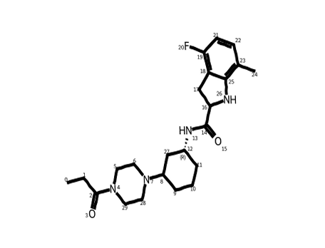 CCC(=O)N1CCN(C2CCC[C@@H](NC(=O)C3Cc4c(F)ccc(C)c4N3)C2)CC1